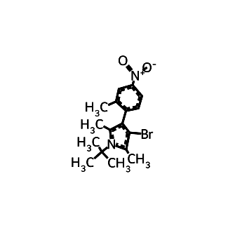 Cc1cc([N+](=O)[O-])ccc1-c1c(Br)c(C)n(C(C)(C)C)c1C